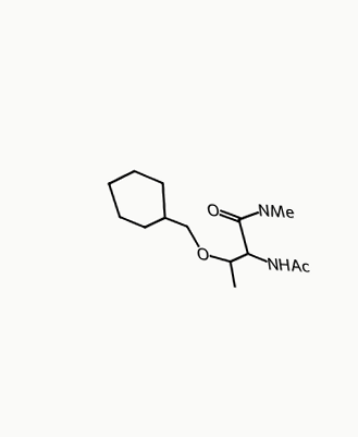 CNC(=O)C(NC(C)=O)C(C)OCC1CCCCC1